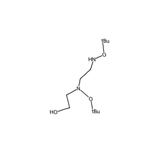 CC(C)(C)ONCCN(CCO)OC(C)(C)C